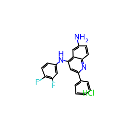 Cl.Nc1ccc2nc(-c3ccccc3)cc(Nc3ccc(F)c(F)c3)c2c1